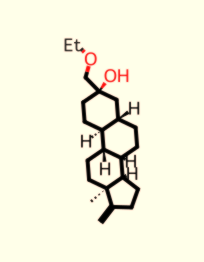 C=C1CC[C@H]2[C@@H]3CC[C@H]4C[C@@](O)(COCC)CC[C@@H]4[C@H]3CC[C@]12C